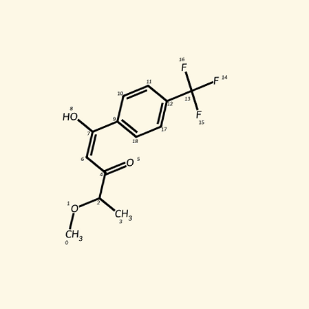 COC(C)C(=O)/C=C(/O)c1ccc(C(F)(F)F)cc1